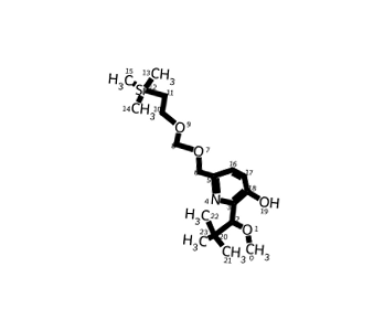 COC(c1nc(COCOCC[Si](C)(C)C)ccc1O)C(C)(C)C